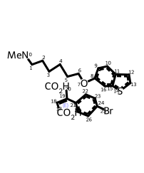 CNCCCCCCOc1ccc2ccsc2c1.O=C(O)/C=C(/C(=O)O)c1ccc(Br)cc1